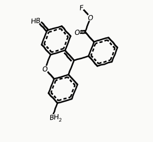 B=c1ccc2c(c1)Oc1cc(B)ccc1C=2c1ccccc1C(=O)OF